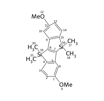 COc1ccc2c(c1)C1=C(c3cc(OC)ccc3[Si]1(C)C)[Si]2(C)C